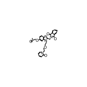 CP(C)(=O)COc1ccc2nc(CN3C(=O)c4ccccc4C3=O)n(CCOCCn3ccccc3=O)c2c1